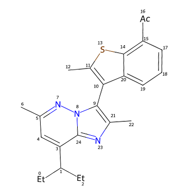 CCC(CC)c1cc(C)nn2c(-c3c(C)sc4c(C(C)=O)cccc34)c(C)nc12